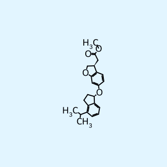 COC(=O)C[C@@H]1COc2cc(O[C@@H]3CCc4c(C(C)C)cccc43)ccc21